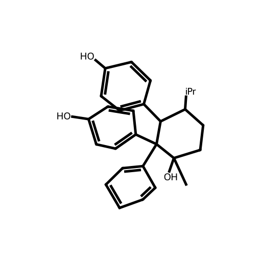 CC(C)C1CCC(C)(O)C(c2ccccc2)(c2ccc(O)cc2)C1c1ccc(O)cc1